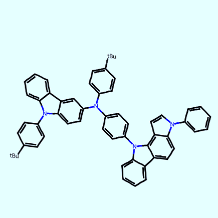 CC(C)(C)c1ccc(N(c2ccc(-n3c4ccccc4c4ccc5c(ccn5-c5ccccc5)c43)cc2)c2ccc3c(c2)c2ccccc2n3-c2ccc(C(C)(C)C)cc2)cc1